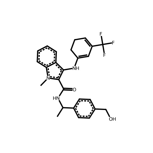 CC(NC(=O)c1c(NC2=CC(C(F)(F)F)=CCC2)c2ccccc2n1C)c1ccc(CO)cc1